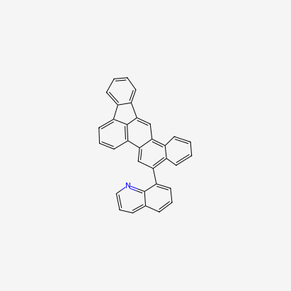 c1ccc2c(c1)-c1cccc3c1c-2cc1c2ccccc2c(-c2cccc4cccnc24)cc31